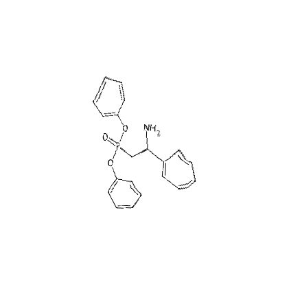 NC(CP(=O)(Oc1ccccc1)Oc1ccccc1)c1ccccc1